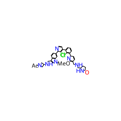 COc1nc(-c2cccc(-c3ccnc(-c4ccc5c(CNC6CN(C(C)=O)C6)cn(C)c5c4)c3Cl)c2Cl)ccc1CNCC1CCC(=O)N1